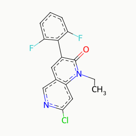 CCn1c(=O)c(-c2c(F)cccc2F)cc2cnc(Cl)cc21